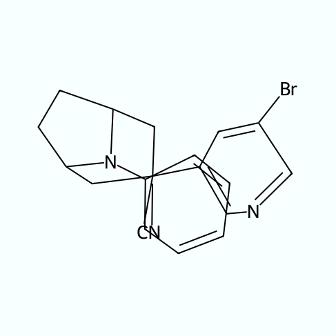 N#CC1(c2cncc(Br)c2)CC2CCC(C1)N2c1ccccc1